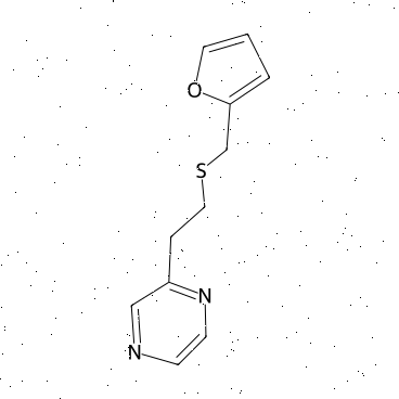 c1coc(CSCCc2cnccn2)c1